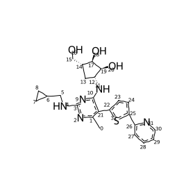 Cc1nc(NCC2CC2)nc(N[C@@H]2C[C@H](CO)[C@@H](O)[C@H]2O)c1-c1ccc(-c2ccccn2)s1